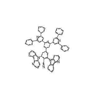 N#Cc1c(-n2c3ccccc3c3ncccc32)cc(-c2cc(-c3cc(-c4ccccc4)nc(-c4ccccc4)c3)nc(-c3cc(-c4ccccc4)nc(-c4ccccc4)c3)c2)cc1-n1c2ccccc2c2ncccc21